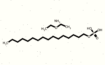 CCCCCCCCCCCCCCCCOP(=O)(O)O.CCOCC.N